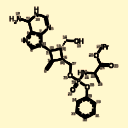 C=C1[C@@H](n2cnc3c2N=CNC3N)[C@H](CO)[C@H]1COP(=O)(NC(C)C(=O)OC(C)C)Oc1ccccc1